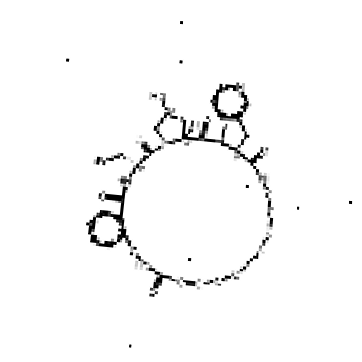 CC(C)C[C@H]1NC(=O)c2ccccc2CNC(=O)CCCCCCCCCNC(=O)[C@H](Cc2cccnc2)N(C)C(=O)[C@H]2C[C@H](O)CN2C1=O